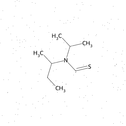 CCC(C)N([C]=S)C(C)C